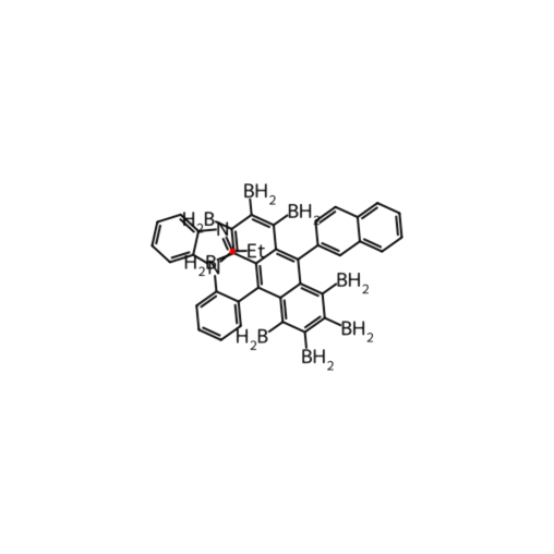 Bc1c(B)c(B)c2c(-c3ccccc3-n3c(CC)nc4ccccc43)c3c(B)c(B)c(B)c(B)c3c(-c3ccc4ccccc4c3)c2c1B